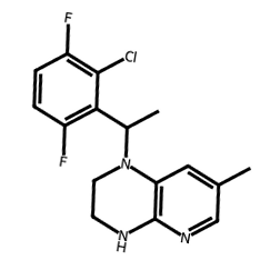 Cc1cnc2c(c1)N(C(C)c1c(F)ccc(F)c1Cl)CCN2